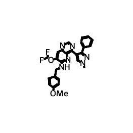 COc1ccc(CNc2nc3c(-c4cn(C)nc4-c4ccccc4)ncnc3cc2OC(F)F)cc1